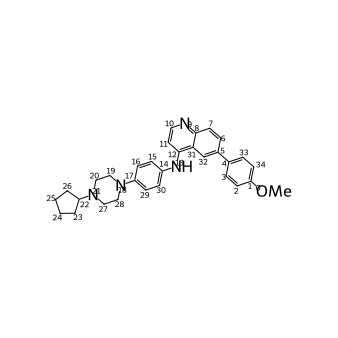 COc1ccc(-c2ccc3nccc(Nc4ccc(N5CCN(C6CCCC6)CC5)cc4)c3c2)cc1